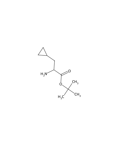 CC(C)(C)OC(=O)C(N)CC1CC1